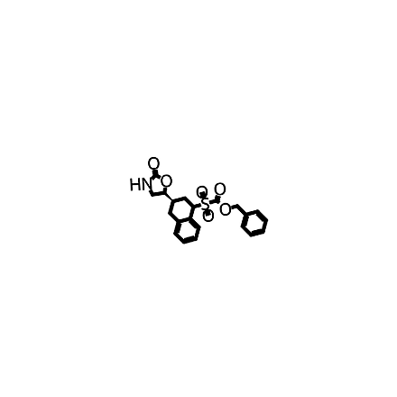 O=C1NCC([C@@H]2Cc3ccccc3C(S(=O)(=O)C(=O)OCc3ccccc3)C2)O1